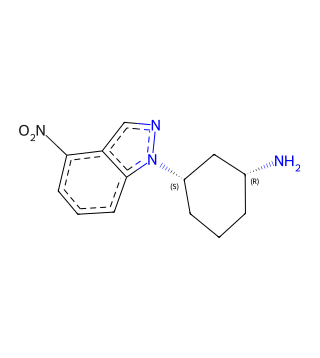 N[C@@H]1CCC[C@H](n2ncc3c([N+](=O)[O-])cccc32)C1